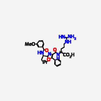 COc1cccc(C(=O)NC(CC(C)C)c2nc(C(=O)N[C@@H](CCCNC(=N)N)C(=O)O)c(-c3ccccc3)o2)c1